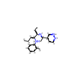 C/C=C(\N=C(/C)c1ccnnc1)C(=C/CC)/Nc1ccccc1C